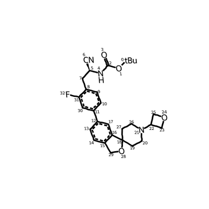 CC(C)(C)OC(=O)N[C@H](C#N)Cc1ccc(-c2ccc3c(c2)C2(CCN(C4COC4)CC2)OC3)cc1F